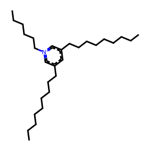 CCCCCCCCCc1cc(CCCCCCCCC)c[n+](CCCCCC)c1